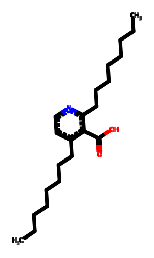 CCCCCCCCc1ccnc(CCCCCCCC)c1C(=O)O